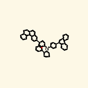 c1ccc(-c2ccccc2N(c2ccc(-c3ccc4c(ccc5ccc6ccccc6c54)c3)cc2)c2ccc(-c3cc4ccccc4c4ccccc34)cc2)cc1